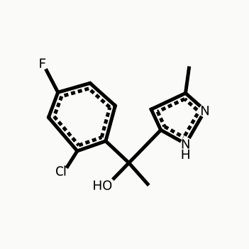 Cc1cc(C(C)(O)c2ccc(F)cc2Cl)[nH]n1